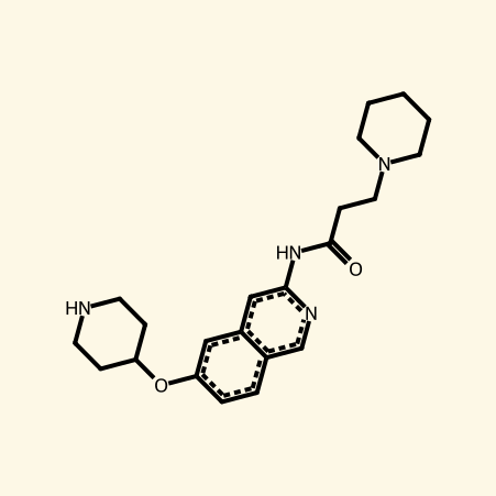 O=C(CCN1CCCCC1)Nc1cc2cc(OC3CCNCC3)ccc2cn1